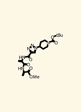 C=C(NC(=O)c1cn(C2CCN(C(=O)OC(C)(C)C)CC2)nn1)C(=O)NC(=C)C(=O)OC